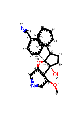 COc1cncc2c1[C@]1(O)CCC(c3ccccc3)[C@]1(c1ccc(C#N)cc1)O2